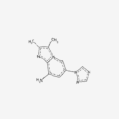 Cc1nc2c(N)cc(-n3cncn3)cn2c1C